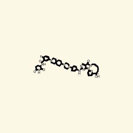 C[C@@]1(O)CC/C=C\Cn2c(=O)c3cnc(Nc4ccc(N5CCN(C6CCC7(CC6)CCN(c6ccc(F)c(C(=O)NC8CCC(=O)NC8=O)c6)CC7)CC5)cc4)nc3n2-c2cccc1n2